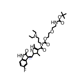 CCN(CC)CCN(C(=O)OCCOCCNC(=O)OC(C)(C)C)C(=O)C1=C(C)NC(/C=C2\C(=O)Nc3ccc(F)cc32)C1C